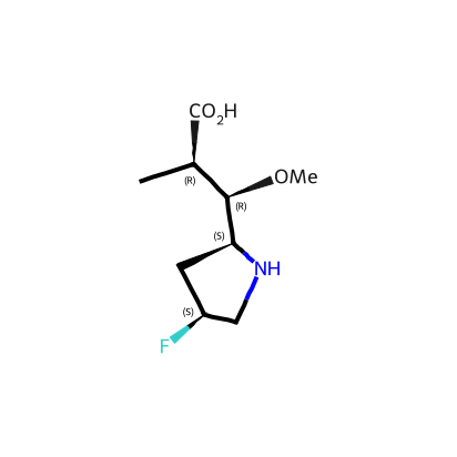 CO[C@@H]([C@@H]1C[C@H](F)CN1)[C@@H](C)C(=O)O